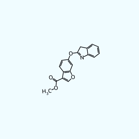 COC(=O)c1coc2cc(OC3=Nc4ccccc4C3)ccc12